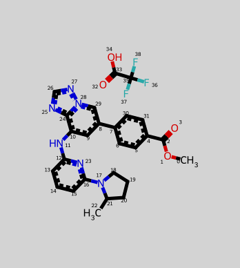 COC(=O)c1ccc(-c2cc(Nc3cccc(N4CCCC4C)n3)c3ncnn3c2)cc1.O=C(O)C(F)(F)F